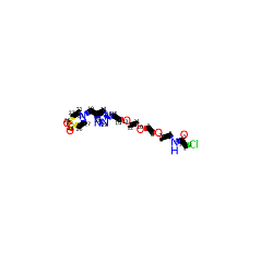 O=C(CCl)NCCOCCOCCOCCn1cc(CN2CCS(=O)(=O)CC2)nn1